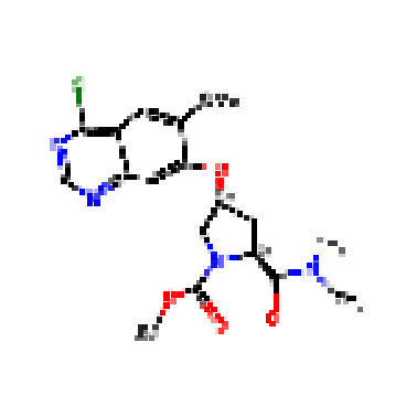 COc1cc2c(Cl)ncnc2cc1O[C@H]1C[C@@H](C(=O)N(C)C)N(C(=O)OC(C)(C)C)C1